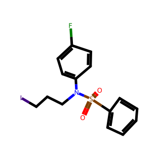 O=S(=O)(c1ccccc1)N(CCCI)c1ccc(F)cc1